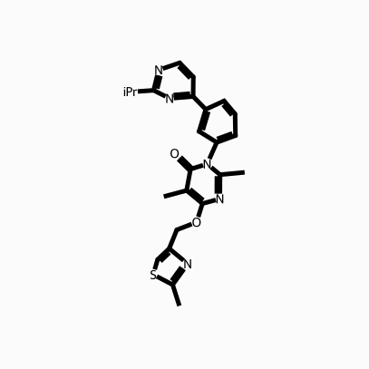 Cc1nc(COc2nc(C)n(-c3cccc(-c4ccnc(C(C)C)n4)c3)c(=O)c2C)cs1